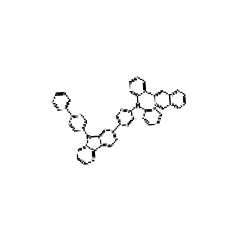 c1ccc(-c2ccc(-n3c4ccccc4c4ccc(-c5ccc6c(c5)c5ccccc5n6-c5ccccc5-c5ccc6ccccc6c5)cc43)cc2)cc1